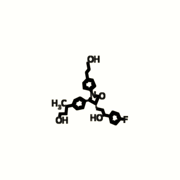 CC(CCO)c1ccc([C@@H]2[C@@H](CC[C@H](O)c3ccc(F)cc3)C(=O)N2c2ccc(CCCO)cc2)cc1